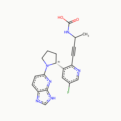 CC(C#Cc1ncc(F)cc1[C@H]1CCCN1c1ccc2nc[nH]c2n1)NC(=O)O